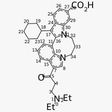 CCN(CC)CCC(=O)c1cn2c3c(cccc13)-c1c(C3CCCCC3)c3ccc(C(=O)O)cc3n1CCC2